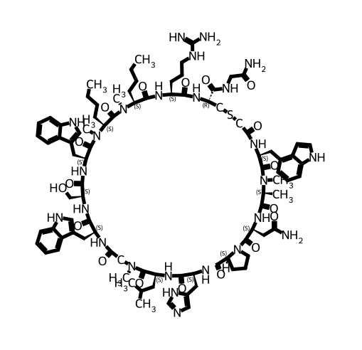 CCCC[C@H]1C(=O)N(C)[C@@H](CCCC)C(=O)N[C@@H](CCCNC(=N)N)C(=O)N[C@H](C(=O)NCC(N)=O)CSCC(=O)N[C@@H](Cc2cccc3[nH]ccc23)C(=O)N(C)[C@@H](C)C(=O)N[C@@H](CC(N)=O)C(=O)N2CCC[C@H]2C(=O)N[C@@H](Cc2cnc[nH]2)C(=O)N[C@@H](CC(C)C)C(=O)N(C)CC(=O)N[C@@H](Cc2c[nH]c3ccccc23)C(=O)N[C@@H](CO)C(=O)N[C@@H](Cc2c[nH]c3ccccc23)C(=O)N1C